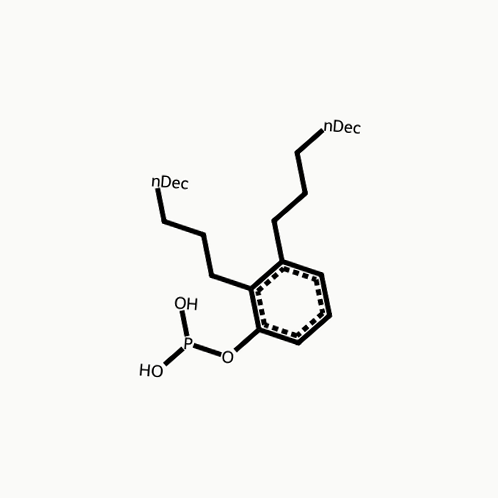 CCCCCCCCCCCCCc1cccc(OP(O)O)c1CCCCCCCCCCCCC